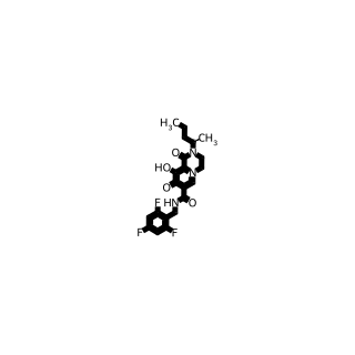 CCC[C@H](C)N1CCn2cc(C(=O)NCc3c(F)cc(F)cc3F)c(=O)c(O)c2C1=O